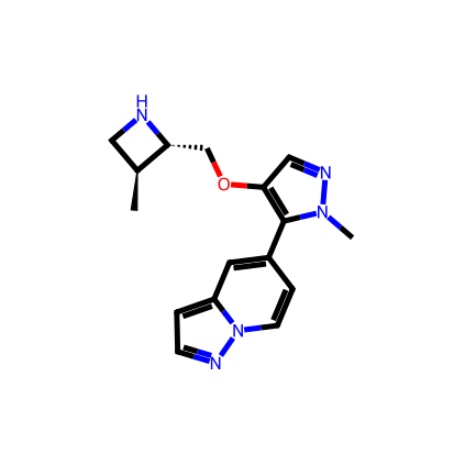 C[C@H]1CN[C@@H]1COc1cnn(C)c1-c1ccn2nccc2c1